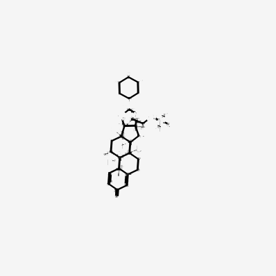 C[C@]12C=CC(=O)C=C1CC[C@@H]1[C@@H]2[C@@H](O)C[C@@]2(C)[C@H]1C[C@H]1O[C@@H](C3CCCCC3)O[C@]12C(=O)COS(C)(=O)=O